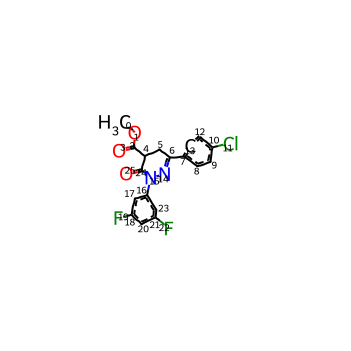 COC(=O)C1CC(c2ccc(Cl)cc2)=NN(c2cc(F)cc(F)c2)C1=O